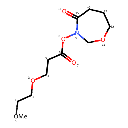 COCCOCCC(=O)ON1COCCCC1=O